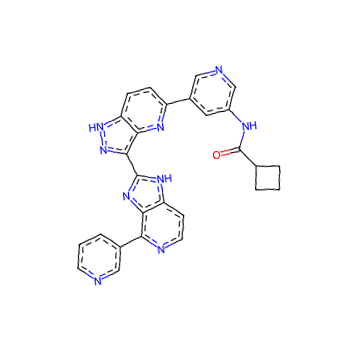 O=C(Nc1cncc(-c2ccc3[nH]nc(-c4nc5c(-c6cccnc6)nccc5[nH]4)c3n2)c1)C1CCC1